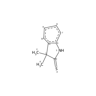 CC1(C)C(=S)Nc2ccccc21